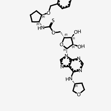 O[C@@H]1[C@H](O)[C@@H](COC(=S)N[C@@H]2CCC[C@H]2OCc2ccccc2)O[C@H]1n1cnc2c(N[C@@H]3CCOC3)ncnc21